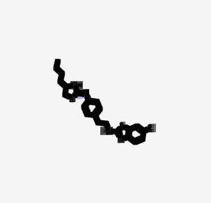 CCCCC1CS/C(=N\c2ccc(CCNc3nc4ccc(Cl)cc4s3)cc2)N1